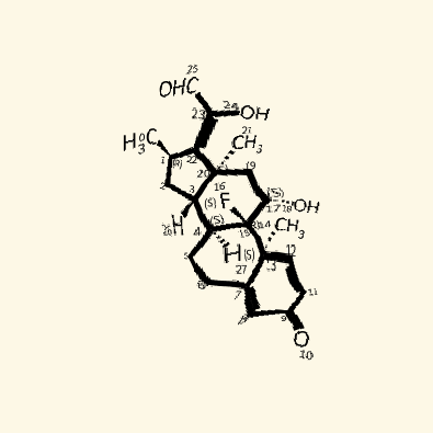 C[C@@H]1C[C@H]2[C@@H]3CCC4=CC(=O)C=C[C@]4(C)[C@@]3(F)[C@@H](O)C[C@]2(C)C1=C(O)C=O